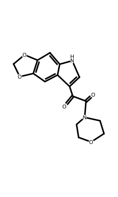 O=C(C(=O)N1CCOCC1)c1c[nH]c2cc3c(cc12)OCO3